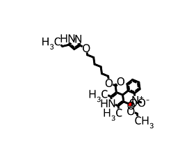 CCOC(=O)C1=C(C)NC(C)=C(C(=O)OCCCCCCOc2cc(CC)[nH]n2)C1c1ccccc1[N+](=O)[O-]